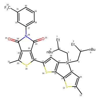 CCCCC(CC)C[Si]1(CC(CC)CCCC)c2cc(C)sc2-c2sc(-c3sc(C)c4c3C(=O)N(c3cccc(C(F)(F)F)c3)C4=O)cc21